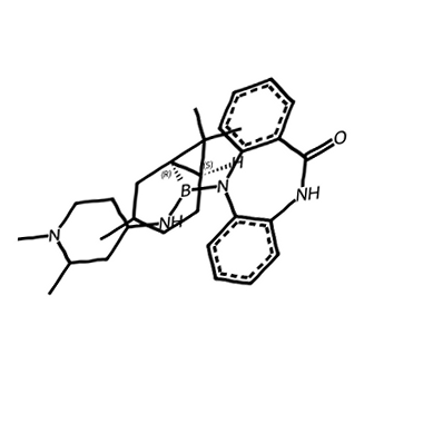 CC1CC[C@@H]2C(C)(C)[C@]2(B(NC2CCN(C)C(C)C2)N2c3ccccc3NC(=O)c3ccccc32)C1